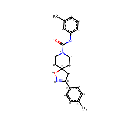 O=C(Nc1cccc(C(F)(F)F)c1)N1CCC2(CC1)CC(c1ccc(C(F)(F)F)cc1)=NO2